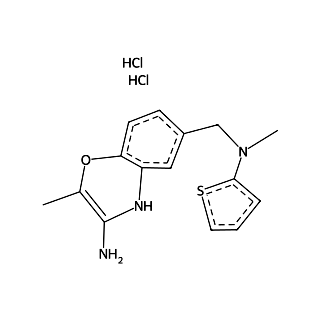 CC1=C(N)Nc2cc(CN(C)c3cccs3)ccc2O1.Cl.Cl